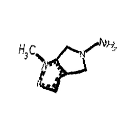 Cn1ncc2c1CN(N)C2